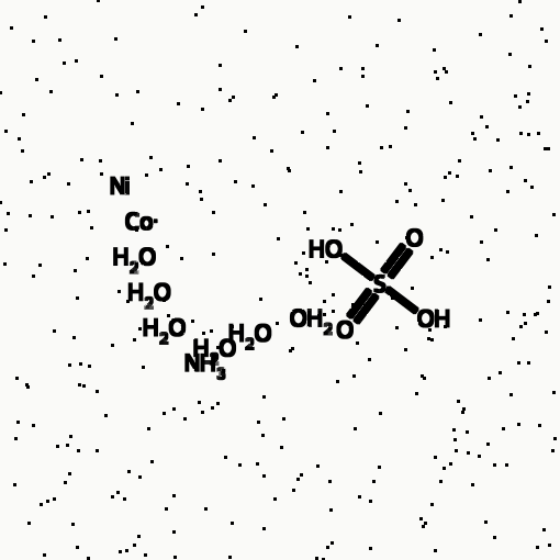 N.O.O.O.O.O.O.O=S(=O)(O)O.[Co].[Ni]